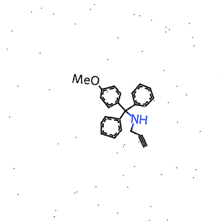 C#CCNC(c1ccccc1)(c1ccccc1)c1ccc(OC)cc1